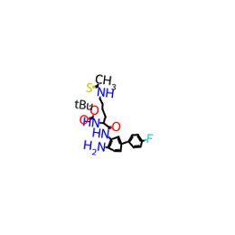 CC(=S)NCCCCC(NC(=O)OC(C)(C)C)C(=O)Nc1cc(-c2ccc(F)cc2)ccc1N